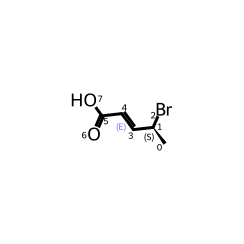 C[C@H](Br)/C=C/C(=O)O